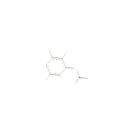 Nc1c(NC(=O)C(F)(F)F)cc(C(F)(F)F)cc1[N+](=O)[O-]